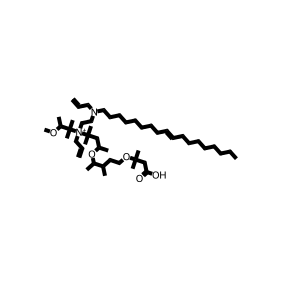 C=CCN(CCCCCCCC/C=C/CCCCCCCC)CC[N+](CC=C)(C(C)(C)CC(C)OC(C)C(C)CCOC(C)(C)CC(=O)O)C(C)(C)C(C)OC